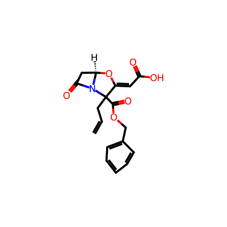 C=CCC1(C(=O)OCc2ccccc2)/C(=C/C(=O)O)O[C@@H]2CC(=O)N21